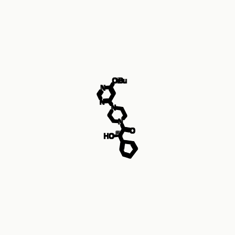 CC(C)COc1cc(N2CCN(C(=O)[C@H](O)c3ccccc3)CC2)ncn1